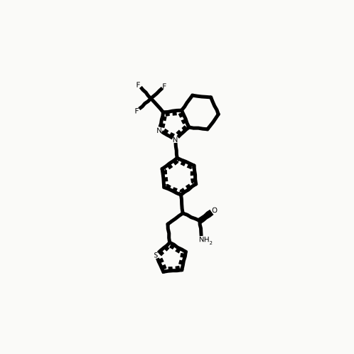 NC(=O)C(Cc1cccs1)c1ccc(-n2nc(C(F)(F)F)c3c2CCCC3)cc1